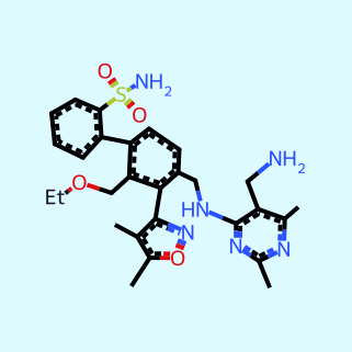 CCOCc1c(-c2ccccc2S(N)(=O)=O)ccc(CNc2nc(C)nc(C)c2CN)c1-c1noc(C)c1C